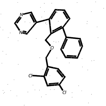 Clc1ccc(COCc2c(-c3ccccc3)cccc2-c2cncnc2)c(Cl)c1